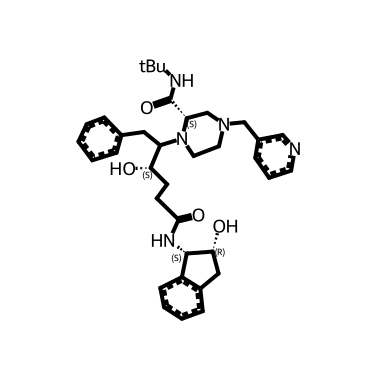 CC(C)(C)NC(=O)[C@@H]1CN(Cc2cccnc2)CCN1C(Cc1ccccc1)[C@@H](O)CCC(=O)N[C@H]1c2ccccc2C[C@H]1O